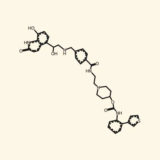 O=C(Nc1ccccc1-c1ccsc1)OC1CCN(CCNC(=O)c2ccc(CNCC(O)c3ccc(O)c4[nH]c(=O)ccc34)cc2)CC1